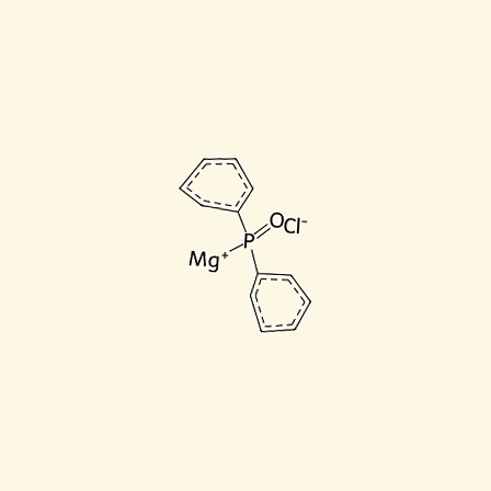 O=[P]([Mg+])(c1ccccc1)c1ccccc1.[Cl-]